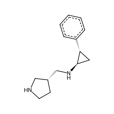 c1ccc([C@@H]2C[C@H]2NC[C@@H]2CCNC2)cc1